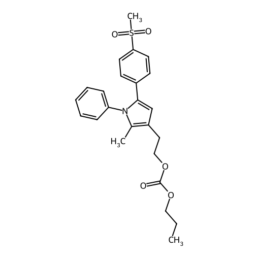 CCCOC(=O)OCCc1cc(-c2ccc(S(C)(=O)=O)cc2)n(-c2ccccc2)c1C